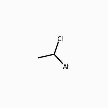 C[CH]([Al])Cl